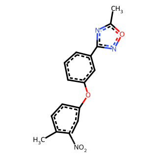 Cc1nc(-c2cccc(Oc3ccc(C)c([N+](=O)[O-])c3)c2)no1